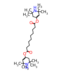 CC1(C)C=C(OC(=O)CCCCCCCCC(=O)OC2=CC(C)(C)NC(C)(C)C2)CC(C)(C)N1